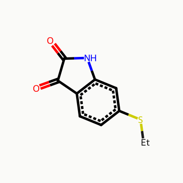 CCSc1ccc2c(c1)NC(=O)C2=O